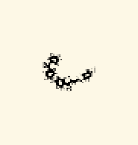 N=C(CCSc1ccc(Cl)cc1)C(=O)c1ccc(Sc2ccc(C(=O)c3ccccc3)cc2)cc1